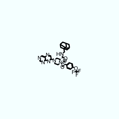 O=C(NCC12CC3CC(CC(C3)C1)C2)[C@H]1CN(c2cnc3cncnc3n2)CCN1S(=O)(=O)c1ccc(OC(F)(F)F)cc1